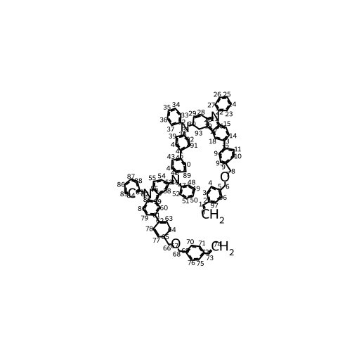 C=Cc1ccc(COCc2ccc(-c3ccc4c(c3)c3c(n4-c4ccccc4)C=CC(N(c4ccccc4)c4ccc(-c5ccc(N(c6ccccc6)c6ccc7c(c6)c6cc(C8=CCC(COCc9ccc(C=C)cc9)C=C8)ccc6n7-c6ccccc6)cc5)cc4)C3)cc2)cc1